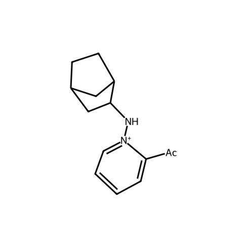 CC(=O)c1cccc[n+]1NC1CC2CCC1C2